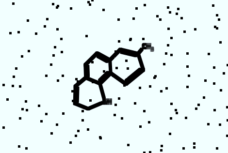 Cc1ccc2c3c(ccc2c1)C=CCN3